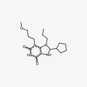 CCCN1c2c(c(=O)[nH]c(=O)n2CCCOC)NC1C1CCCC1